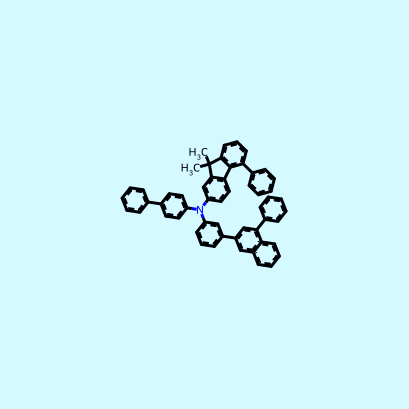 CC1(C)c2cc(N(c3ccc(-c4ccccc4)cc3)c3cccc(-c4cc(-c5ccccc5)c5ccccc5c4)c3)ccc2-c2c(-c3ccccc3)cccc21